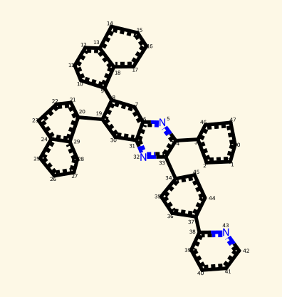 c1ccc(-c2nc3cc(-c4cccc5ccccc45)c(-c4cccc5ccccc45)cc3nc2-c2ccc(-c3ccccn3)cc2)cc1